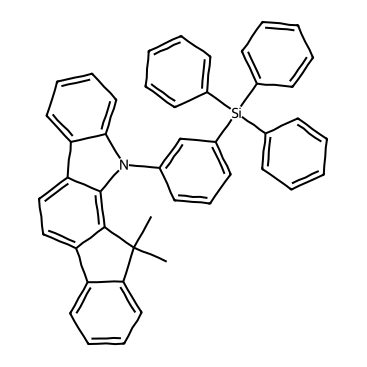 CC1(C)c2ccccc2-c2ccc3c4ccccc4n(-c4cccc([Si](c5ccccc5)(c5ccccc5)c5ccccc5)c4)c3c21